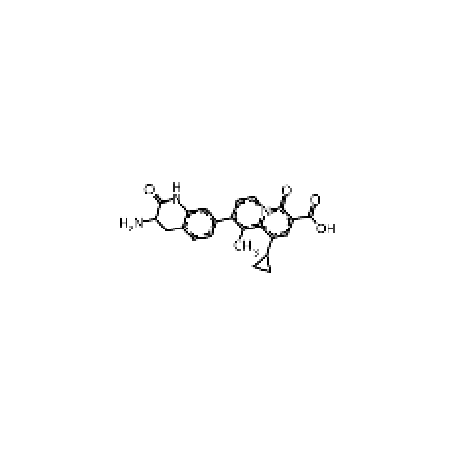 Cc1c(-c2ccc3c(c2)NC(=O)C(N)C3)ccn2c(=O)c(C(=O)O)cc(C3CC3)c12